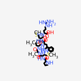 CSCCC(NC(=O)C1CCCN1)C(=O)NC(C)C(=O)NC(CC(C)C)C(=O)NC(Cc1c[nH]c2ccccc12)C(=O)NC(CCSC)C(=O)NC(CCCNC(=N)N)C(=O)O